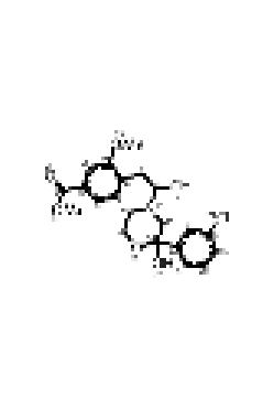 COC(=O)c1ccc(CC(C)N2CCOC(O)(c3cccc(Cl)c3)C2)c(OC)c1